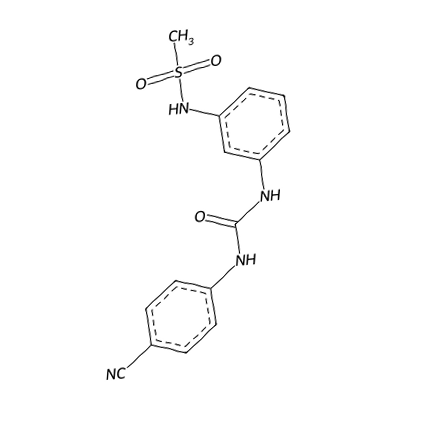 CS(=O)(=O)Nc1cccc(NC(=O)Nc2ccc(C#N)cc2)c1